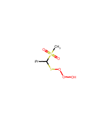 CC(C)C(SOOO)S(C)(=O)=O